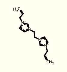 C=CC[n+]1ccn(CCn2cc[n+](CC=C)c2)c1